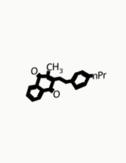 CCCc1ccc(CCC2=C(C)C(=O)c3ccccc3C2=O)cc1